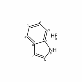 F.c1ccc2[nH]ccc2c1